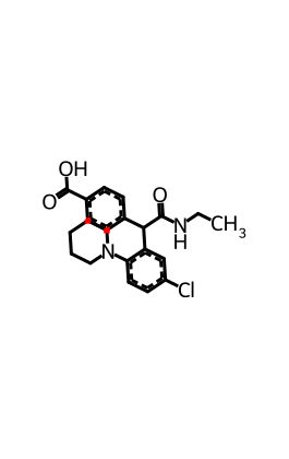 CCNC(=O)C(c1ccc(C(=O)O)cc1)c1cc(Cl)ccc1N1CCCCC1